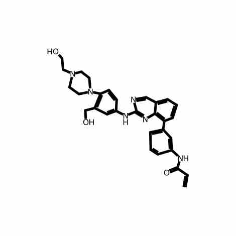 C=CC(=O)Nc1cccc(-c2cccc3cnc(Nc4ccc(N5CCN(CCO)CC5)c(CO)c4)nc23)c1